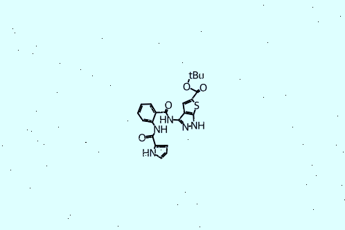 CC(C)(C)OC(=O)c1cc2c(NC(=O)c3ccccc3NC(=O)c3ccc[nH]3)n[nH]c2s1